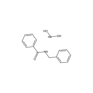 O=C(NCc1ccccc1)c1ccccc1.OBO